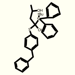 CC(O)CC(O)(Sc1ccc(Cc2ccccc2)cc1)[Si](c1ccccc1)(c1ccccc1)C(C)(C)C